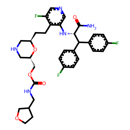 NC(=O)[C@@H](Nc1cncc(F)c1CC[C@@H]1CNC[C@@H](COC(=O)NCC2CCOC2)O1)C(c1ccc(F)cc1)c1ccc(F)cc1